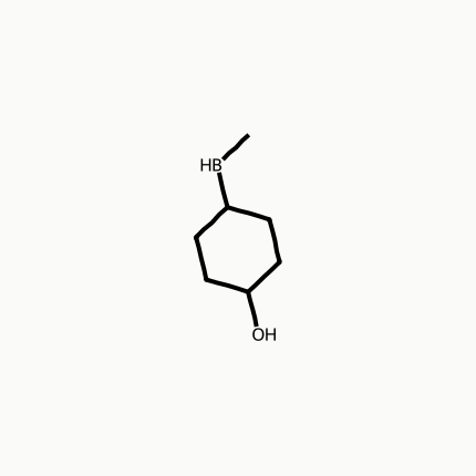 CBC1CCC(O)CC1